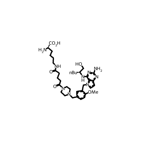 CCCC[C@@H](CO)Nc1nc(N)nc2ccn(Cc3cc(CN4CCN(C(=O)CCCC(=O)NCCCC[C@@H](N)C(=O)O)CC4)ccc3OC)c12